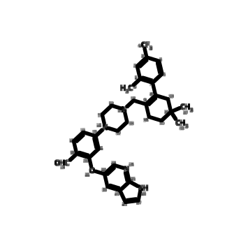 Cc1cc(C(F)(F)F)ccc1C1=C(CN2CCN(c3ccc(C=O)c(Oc4cnc5[nH]ccc5c4)c3)CC2)CCC(C)(C)C1